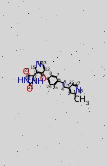 Cc1cc(/C=C/c2ccc(Oc3ccncc3C3NC(=O)NC3=O)cc2)ccn1